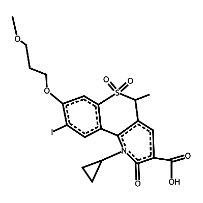 COCCCOc1cc2c(cc1I)-c1c(cc(C(=O)O)c(=O)n1C1CC1)C(C)S2(=O)=O